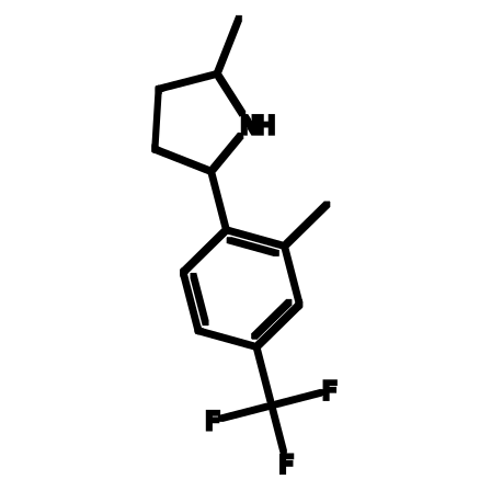 Cc1cc(C(F)(F)F)ccc1C1CCC(C)N1